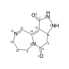 O=C1NNC2CC(=O)N3CCCN=CC3=C12